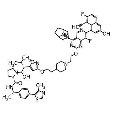 C#Cc1c(F)ccc2cc(O)cc(-c3ncc4c(N5CC6CCC(C5)N6)nc(OCCN5CCC(CCOc6cc([C@@H](C(C)C)C(O)N7CCC[C@H]7C(=O)N[C@@H](C)c7ccc(-c8scnc8C)cc7)on6)CC5)nc4c3F)c12